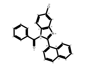 O=C(c1ccccc1)n1c(-c2cccc3ccccc23)nc2cc(Cl)ccc21